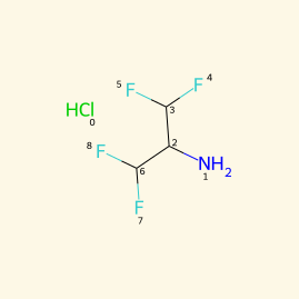 Cl.NC(C(F)F)C(F)F